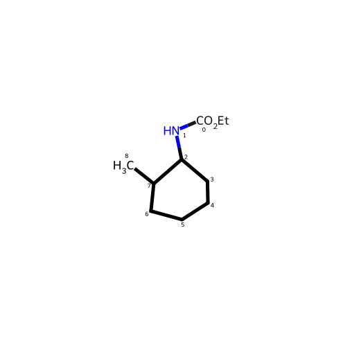 CCOC(=O)NC1CCCCC1C